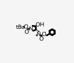 CN(C[C@@H]1CN(C(=O)OC(C)(C)C)C[C@H]1O)C(=O)OCc1ccccc1